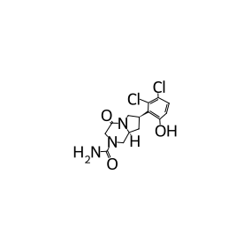 NC(=O)N1CC(=O)N2C[C@@H](c3c(O)ccc(Cl)c3Cl)C[C@H]2C1